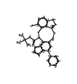 CC(C)(C)OC(=O)N1Cc2c(F)ccc3c2[C@H](CO3)COc2cc(-c3ccncn3)c3nncn3c21